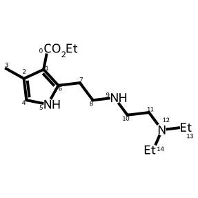 CCOC(=O)c1c(C)c[nH]c1CCNCCN(CC)CC